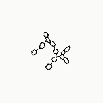 c1ccc(-c2ccc(N(c3ccc(-c4ccc5c6ccccc6n(-c6ccc(-c7ccccc7)cc6)c5c4)cc3)c3cc4ccccc4c4c3oc3ccccc34)cc2)cc1